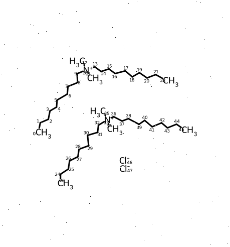 CCCCCCCCCC[N+](C)(C)CCCCCCCCCC.CCCCCCCCCC[N+](C)(C)CCCCCCCCCC.[Cl-].[Cl-]